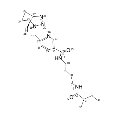 CCC(C)C(=O)NCCCCNC(=O)c1ccc(CN2N=NC3CC[C@H]32)nc1